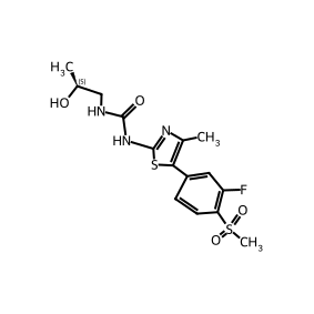 Cc1nc(NC(=O)NC[C@H](C)O)sc1-c1ccc(S(C)(=O)=O)c(F)c1